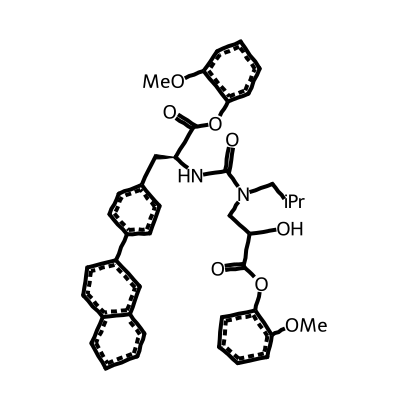 COc1ccccc1OC(=O)C(O)CN(CC(C)C)C(=O)N[C@@H](Cc1ccc(-c2ccc3ccccc3c2)cc1)C(=O)Oc1ccccc1OC